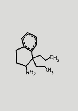 CCCC1(CCC)c2ccccc2CCC1N